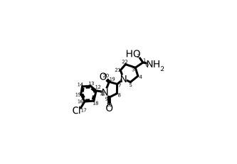 NC(O)C1CCN(C2CC(=O)N(c3cccc(Cl)c3)C2=O)CC1